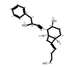 O=C(O)CC/C=C1\C[C@H]2[C@H](C#CC(O)Cc3ccccc3)[C@@H](O)CC[C@@H]12